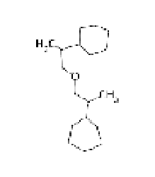 CC(COCC(C)C1CCCCC1)C1CCCCC1